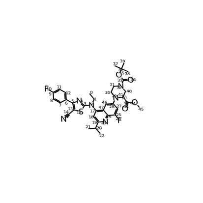 CCN(c1nc(-c2ccc(F)cc2)c(C#N)s1)c1cc(C(C)C)nc2c(F)cc(N3CCN(C(=O)OC(C)(C)C)C[C@H]3C(=O)OC)cc12